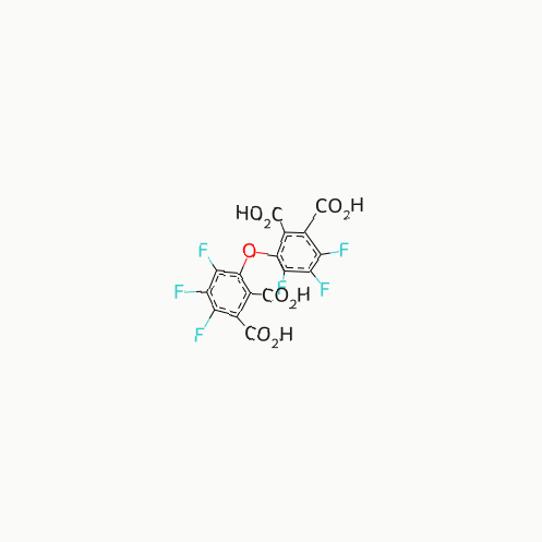 O=C(O)c1c(F)c(F)c(F)c(Oc2c(F)c(F)c(F)c(C(=O)O)c2C(=O)O)c1C(=O)O